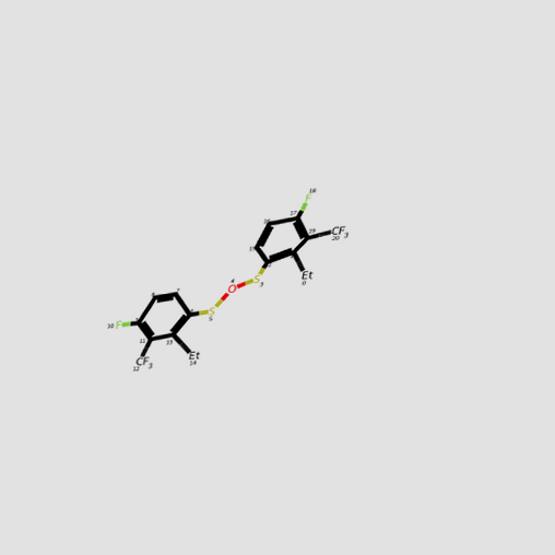 CCc1c(SOSc2ccc(F)c(C(F)(F)F)c2CC)ccc(F)c1C(F)(F)F